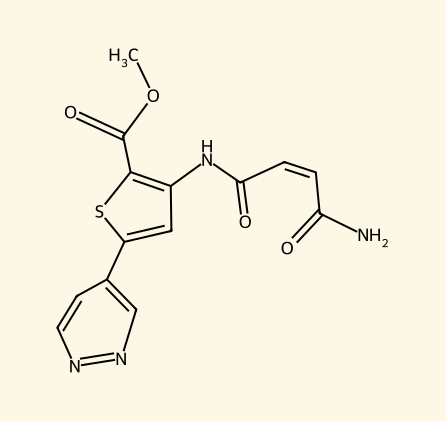 COC(=O)c1sc(-c2ccnnc2)cc1NC(=O)/C=C\C(N)=O